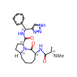 CN[C@@H](C)C(=O)N[C@H]1CCCC[C@H]2CC[C@@H](C(=O)N[C@@H](c3ccccc3)c3c[nH]nn3)N2C1=O